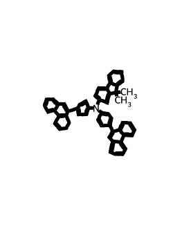 CC1(C)c2ccccc2-c2ccc(N(c3ccc(-c4cc5ccccc5c5c4CCC=C5)cc3)c3ccc(-c4cc5ccccc5c5ccccc45)cc3)cc21